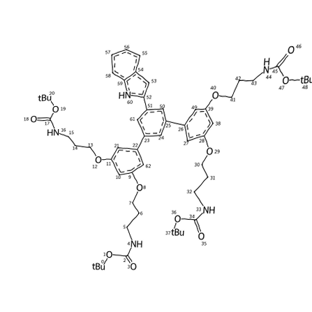 CC(C)(C)OC(=O)NCCCOc1cc(OCCCNC(=O)OC(C)(C)C)cc(-c2cc(-c3cc(OCCCNC(=O)OC(C)(C)C)cc(OCCCNC(=O)OC(C)(C)C)c3)cc(-c3cc4ccccc4[nH]3)c2)c1